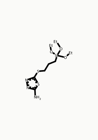 CCO[Si](CCCSc1nnc(N)s1)(OCC)OCC